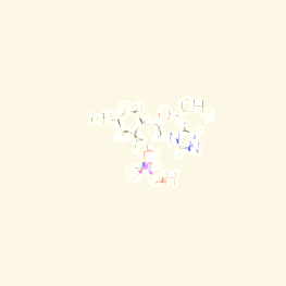 CCOC(=Cn1ccnc1)c1ccc(Cl)cc1Cl.O=[N+]([O-])O